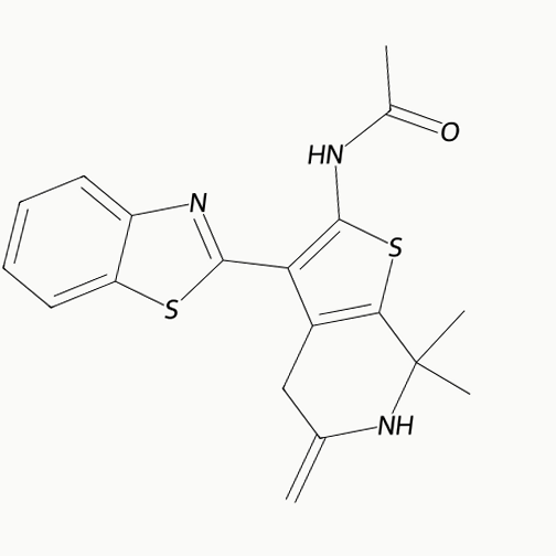 C=C1Cc2c(sc(NC(C)=O)c2-c2nc3ccccc3s2)C(C)(C)N1